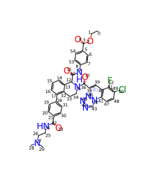 CCOC(=O)c1ccc(NC(=O)C2c3cccc(-c4ccc(C(=O)NCCN(C)C)cc4)c3CCN2C(=O)/C=C/c2c(-n3cnnn3)ccc(Cl)c2F)cc1